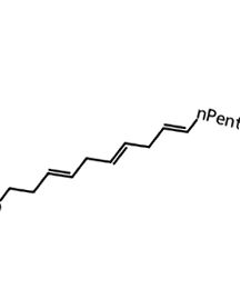 CCCCC/C=C/C/C=C/C/C=C/CCO